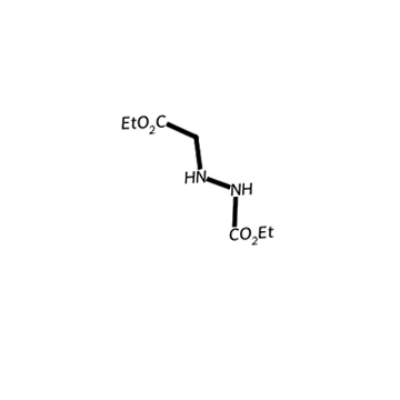 CCOC(=O)CNNC(=O)OCC